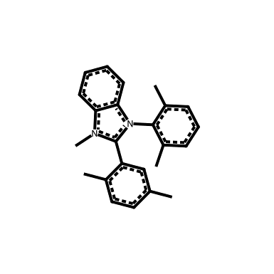 Cc1ccc(C)c(-c2n(-c3c(C)cccc3C)c3ccccc3[n+]2C)c1